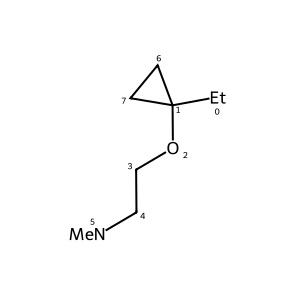 CCC1(OCCNC)CC1